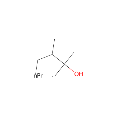 [CH2]C(C)(O)C(C)CCCC